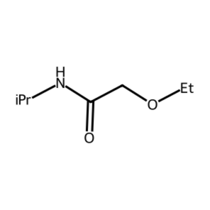 CCOCC(=O)NC(C)C